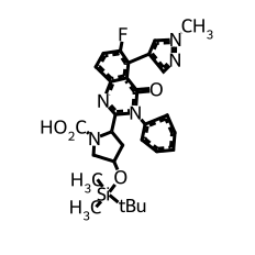 Cn1cc(-c2c(F)ccc3nc(C4CC(O[Si](C)(C)C(C)(C)C)CN4C(=O)O)n(-c4ccccc4)c(=O)c23)cn1